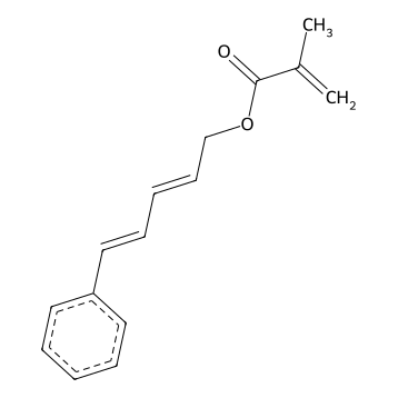 C=C(C)C(=O)OCC=CC=Cc1ccccc1